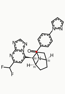 O=C(c1ccc(-n2cccn2)cc1)N1[C@H]2CC[C@H](c3cc(C(F)F)nc4ncnn34)[C@@H]1CC2